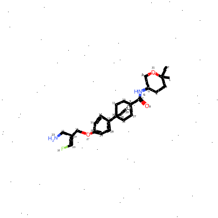 CC1(C)CCC(NC(=O)C23CCC(c4ccc(OCC(=CF)CN)cc4)(CC2)CC3)CO1